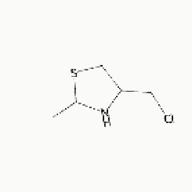 CC1NC(CCl)CS1